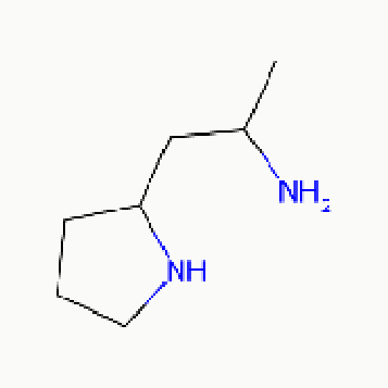 CC(N)CC1CCCN1